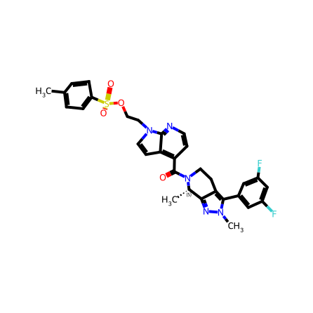 Cc1ccc(S(=O)(=O)OCCn2ccc3c(C(=O)N4CCc5c(nn(C)c5-c5cc(F)cc(F)c5)[C@@H]4C)ccnc32)cc1